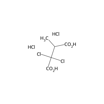 CC(C(=O)O)C(Cl)(Cl)C(=O)O.Cl.Cl